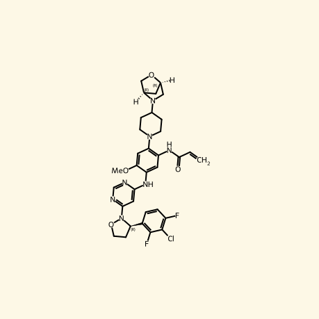 C=CC(=O)Nc1cc(Nc2cc(N3OCC[C@@H]3c3ccc(F)c(Cl)c3F)ncn2)c(OC)cc1N1CCC(N2C[C@H]3C[C@@H]2CO3)CC1